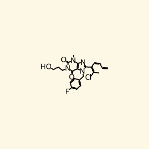 C=C/C=C\C(=C(/C)Cl)c1nc2c(c(=O)n(CCCO)c(=O)n2C)n1Cc1ccc(F)cc1